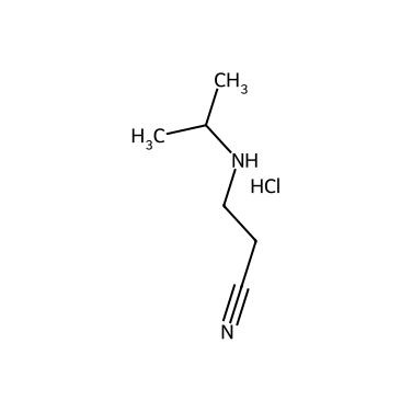 CC(C)NCCC#N.Cl